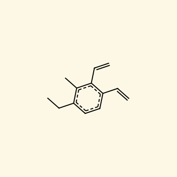 C=Cc1ccc(CC)c(C)c1C=C